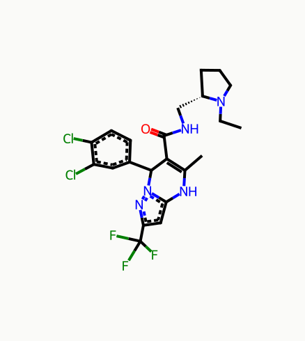 CCN1CCC[C@H]1CNC(=O)C1=C(C)Nc2cc(C(F)(F)F)nn2C1c1ccc(Cl)c(Cl)c1